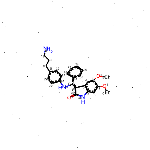 CCOc1cc2c(cc1OCC)/C(=C(/Nc1ccc(CCCN)cc1)c1ccccc1)C(=O)N2